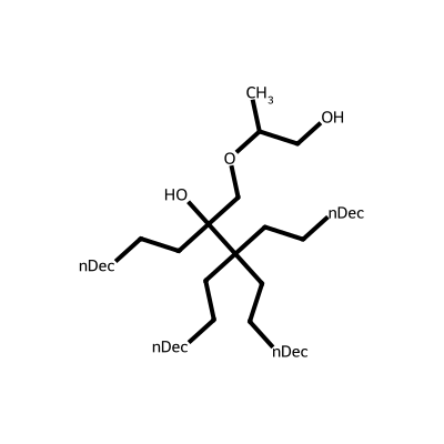 CCCCCCCCCCCCC(O)(COC(C)CO)C(CCCCCCCCCCCC)(CCCCCCCCCCCC)CCCCCCCCCCCC